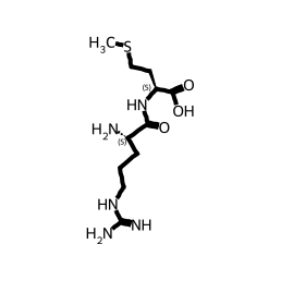 CSCC[C@H](NC(=O)[C@@H](N)CCCNC(=N)N)C(=O)O